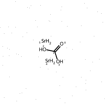 O=C(O)O.[SrH2].[SrH2]